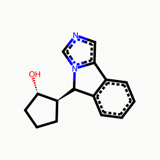 O[C@H]1CCC[C@@H]1C1c2ccccc2-c2cncn21